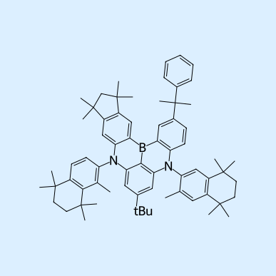 Cc1cc2c(cc1N1c3ccc(C(C)(C)c4ccccc4)cc3B3c4cc5c(cc4N(c4ccc6c(c4C)C(C)(C)CCC6(C)C)c4cc(C(C)(C)C)cc1c43)C(C)(C)CC5(C)C)C(C)(C)CCC2(C)C